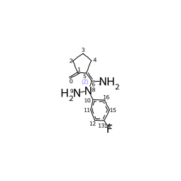 C=C1CCC/C1=C(\N)N(N)c1ccc(F)cc1